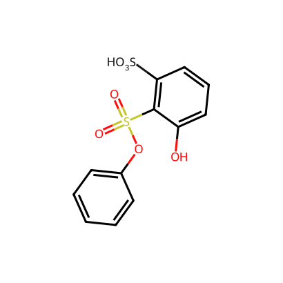 O=S(=O)(O)c1cccc(O)c1S(=O)(=O)Oc1ccccc1